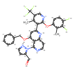 Cc1c(Oc2ncc(C(F)(F)F)c(C)c2-c2cc(OCc3ccccc3)c3c(-n4nccc4C=O)nccc3n2)ccc(F)c1F